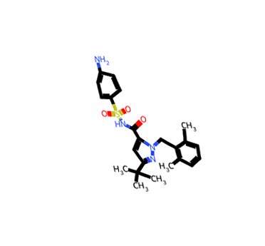 Cc1cccc(C)c1Cn1nc(C(C)(C)C)cc1C(=O)NS(=O)(=O)c1ccc(N)cc1